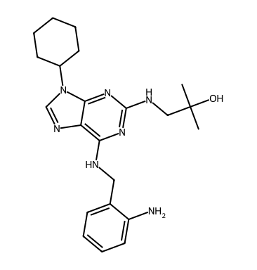 CC(C)(O)CNc1nc(NCc2ccccc2N)c2ncn(C3CCCCC3)c2n1